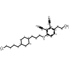 CCCCCC1CCC(CCCOc2ccc(CCC)c(C#N)c2C#N)CC1